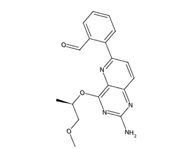 COC[C@@H](C)Oc1nc(N)nc2ccc(-c3ccccc3C=O)nc12